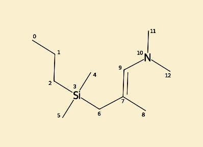 CCC[Si](C)(C)CC(C)=CN(C)C